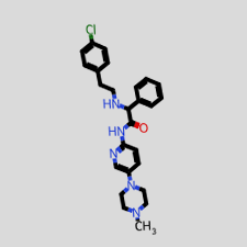 CN1CCN(c2ccc(NC(=O)C(NCCc3ccc(Cl)cc3)c3ccccc3)nc2)CC1